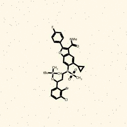 CNC(=O)c1c(-c2ccc(F)cc2)oc2cc(N(CCC(O[Si](C)(C)C(C)(C)C)c3cccc(Cl)c3Br)S(C)(=O)=O)c(C3CC3)cc12